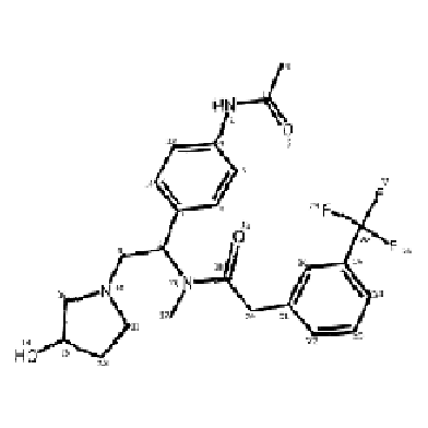 CC(=O)Nc1ccc(C(CN2CCC(O)C2)N(C)C(=O)Cc2cccc(C(F)(F)F)c2)cc1